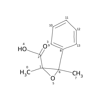 CC1(C(=O)O)OC1(C)c1ccccc1